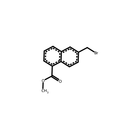 COC(=O)c1cccc2cc(CBr)ccc12